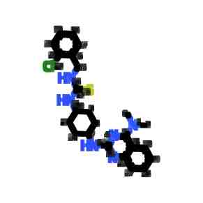 CN(C)c1nc(NC2CCC(NC(=S)NCc3ccccc3Cl)CC2)nc2ccccc12